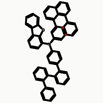 c1ccc(-c2ccccc2-c2ccccc2-c2ccc(N(c3cccc(-c4cccc5cccc(-c6ccccc6)c45)c3)c3cccc4c3oc3ccccc34)cc2)cc1